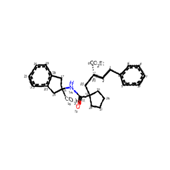 CCOC(=O)[C@H](CCc1ccccc1)CC1(C(=O)NC2(C(=O)O)Cc3ccccc3C2)CCCC1